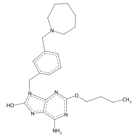 CCCCOc1nc(N)c2nc(O)n(Cc3cccc(CN4CCCCCC4)c3)c2n1